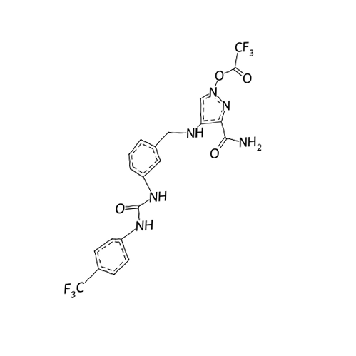 NC(=O)c1nn(OC(=O)C(F)(F)F)cc1NCc1cccc(NC(=O)Nc2ccc(C(F)(F)F)cc2)c1